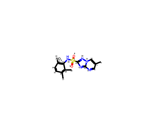 Cc1cnc2nc(S(=O)(=O)Nc3c([N+](=O)[O-])ccc(C)c3C)nn2c1